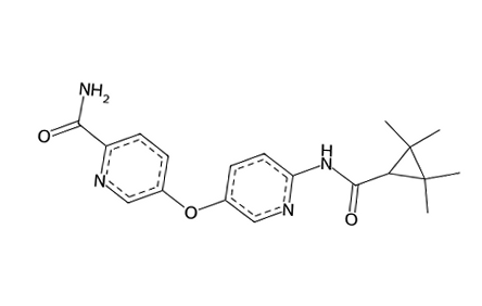 CC1(C)C(C(=O)Nc2ccc(Oc3ccc(C(N)=O)nc3)cn2)C1(C)C